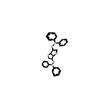 c1ccc(P(OC2COC3C(OP(c4ccccc4)c4ccccc4)COC23)c2ccccc2)cc1